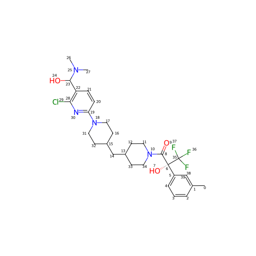 Cc1cccc([C@@](O)(C(=O)N2CCC(CC3CCN(c4ccc(C(O)N(C)C)c(Cl)n4)CC3)CC2)C(F)(F)F)c1